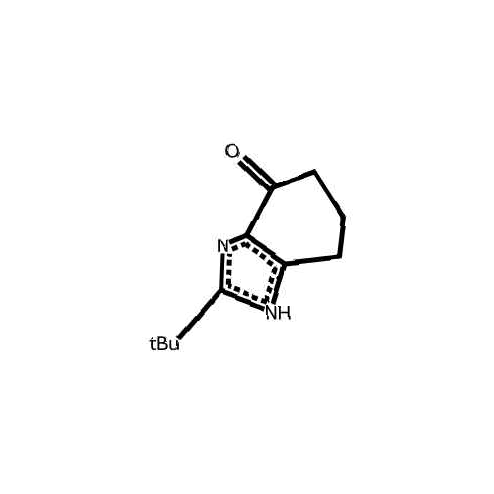 CC(C)(C)c1nc2c([nH]1)CCCC2=O